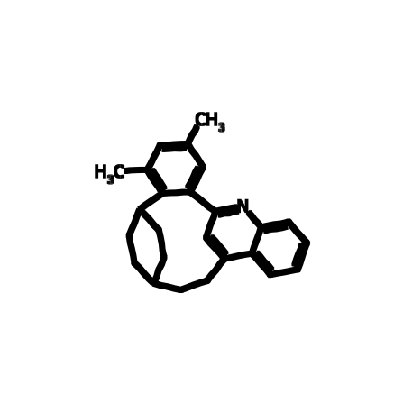 Cc1cc(C)c2c(c1)-c1cc(c3ccccc3n1)CCC1CCC2CC1